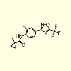 Cc1cc(-c2noc(C(F)(F)F)n2)ccc1NC(=O)C1(C)CC1